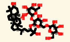 C[C@H](CC[C@@H](O[C@@H]1O[C@H](COC2O[C@H](CO)[C@@H](O)[C@H](O)[C@H]2O)[C@@H](O)[C@H](O)[C@H]1O[C@@H]1O[C@H](CO)[C@@H](O)[C@H](O)[C@H]1O)C(C)(C)O)[C@H]1CC[C@@]2(C)[C@@H]3CC=C4[C@@H](CC[C@H](O)C4(C)C)[C@]3(C)[C@H](O)C[C@]12C